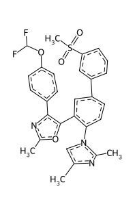 Cc1cn(-c2ccc(-c3cccc(S(C)(=O)=O)c3)cc2-c2oc(C)nc2-c2ccc(OC(F)F)cc2)c(C)n1